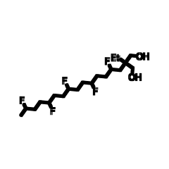 CCC(CO)(CO)CC(F)CCC(F)CCC(F)CCC(F)CCC(C)F